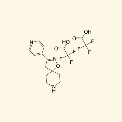 O=C(O)C(F)(F)F.O=C(O)C(F)(F)F.c1cc(C2=NOC3(CCNCC3)C2)ccn1